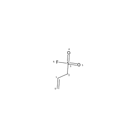 C=C[CH]S(=O)(=O)F